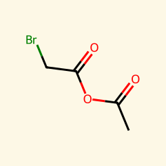 CC(=O)OC(=O)CBr